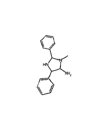 CN1C(c2ccccc2)NC(c2ccccc2)C1N